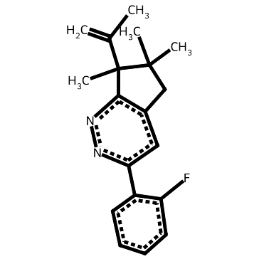 C=C(C)C1(C)c2nnc(-c3ccccc3F)cc2CC1(C)C